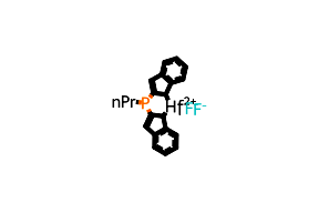 CCCP1C2=Cc3ccccc3[CH]2[Hf+2][CH]2C1=Cc1ccccc12.[F-].[F-]